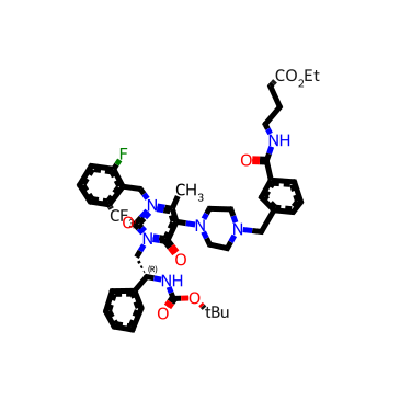 CCOC(=O)CCCNC(=O)c1cccc(CN2CCN(c3c(C)n(Cc4c(F)cccc4C(F)(F)F)c(=O)n(C[C@H](NC(=O)OC(C)(C)C)c4ccccc4)c3=O)CC2)c1